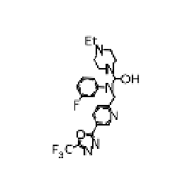 CCN1CCN(C(O)N(Cc2ccc(-c3nnc(C(F)(F)F)o3)cn2)c2cccc(F)c2)CC1